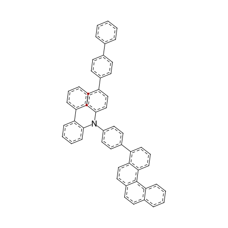 c1ccc(-c2ccc(-c3ccc(N(c4ccc(-c5cccc6c5ccc5ccc7ccccc7c56)cc4)c4ccccc4-c4ccccc4)cc3)cc2)cc1